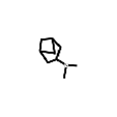 CN(C)C1CC2CC(C2)C1